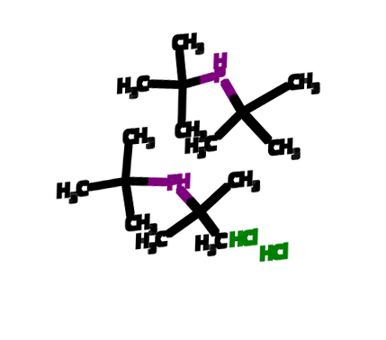 CC(C)(C)PC(C)(C)C.CC(C)(C)PC(C)(C)C.Cl.Cl